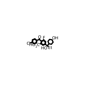 CCC(O)(c1cc(F)c(C(=O)c2ccc(Cl)cc2)c(C(=O)O)c1)C1CCC(O)CC1